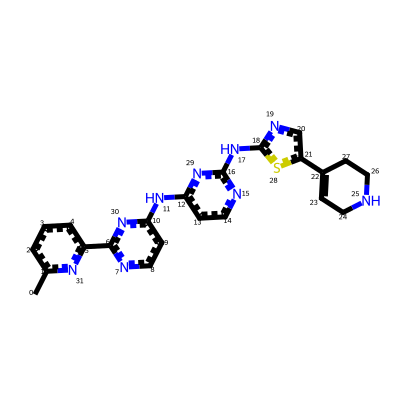 Cc1cccc(-c2nccc(Nc3ccnc(Nc4ncc(C5=CCNCC5)s4)n3)n2)n1